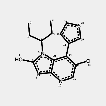 CCC(CC)n1c(O)nc2ncc(Cl)c(-c3ccsc3)c21